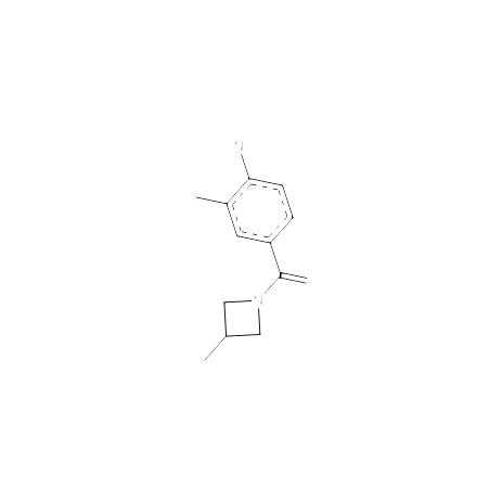 CC1CN(C(=O)c2ccc(N)c(Cl)c2)C1